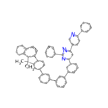 CC1(C)c2cc(-c3cccc(-c4cccc(-c5cccc(-c6cc(-c7ccc(-c8ccccc8)nc7)nc(-c7ccccc7)n6)c5)c4)c3)ccc2-c2ccc3ccccc3c21